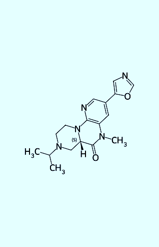 CC(C)N1CCN2c3ncc(-c4cnco4)cc3N(C)C(=O)[C@@H]2C1